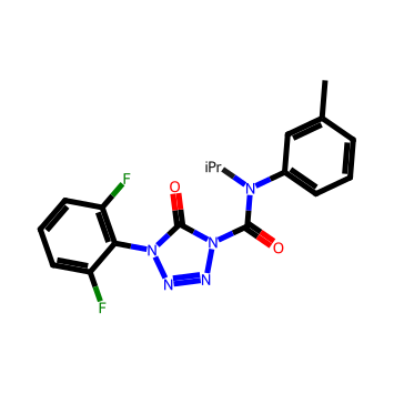 Cc1cccc(N(C(=O)n2nnn(-c3c(F)cccc3F)c2=O)C(C)C)c1